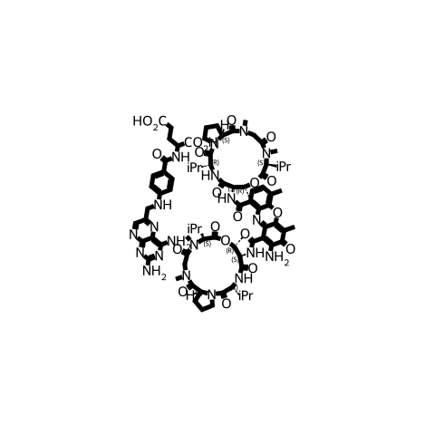 Cc1c2oc3c(C)ccc(C(=O)N[C@@H]4C(=O)N[C@H](C(C)C)C(=O)N5CCC[C@H]5C(=O)N(C)CC(=O)N(C)[C@@H](C(C)C)C(=O)O[C@@H]4C)c3nc-2c(C(=O)N[C@@H]2C(=O)N[C@H](C(C)C)C(=O)N3CCC[C@H]3C(=O)N(C)CC(=O)N(C)[C@@H](C(C)C)C(=O)O[C@@H]2C)c(N)c1=O.Nc1nc(N)c2nc(CNc3ccc(C(=O)NC(CCC(=O)O)C(=O)O)cc3)cnc2n1